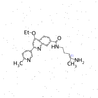 CCOc1cc(-c2ccc(C)nc2)nc2cc(C(=O)NCC/C=C(\C)N)ccc12